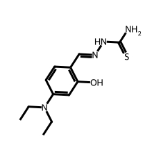 CCN(CC)c1ccc(C=NNC(N)=S)c(O)c1